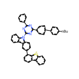 CCCCc1ccc(-c2ccc(-c3nc(-c4ccccc4)nc(-n4c5ccccc5c5cc(-c6cccc7c6sc6ccccc67)ccc54)n3)cc2)cc1